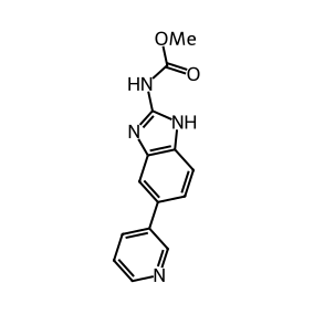 COC(=O)Nc1nc2cc(-c3cccnc3)ccc2[nH]1